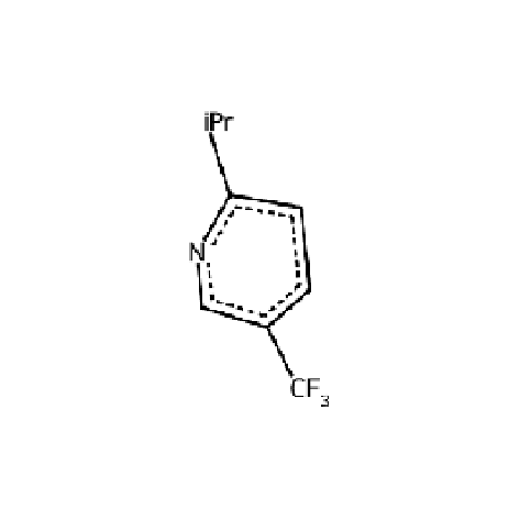 CC(C)c1ccc(C(F)(F)F)cn1